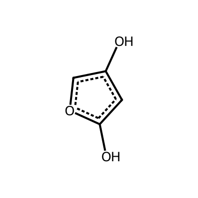 Oc1coc(O)c1